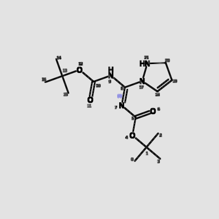 CC(C)(C)OC(=O)/N=C(/NC(=O)OC(C)(C)C)N1C=CCN1